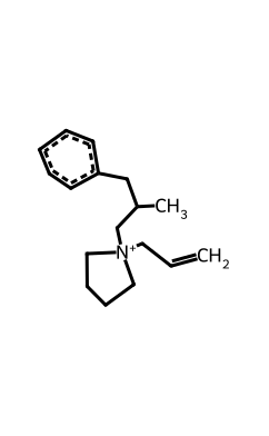 C=CC[N+]1(CC(C)Cc2ccccc2)CCCC1